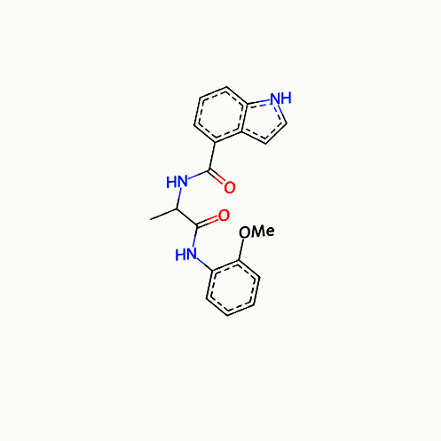 COc1ccccc1NC(=O)C(C)NC(=O)c1cccc2[nH]ccc12